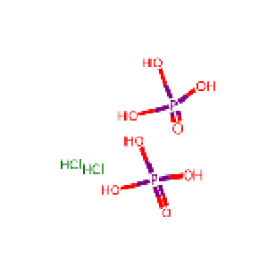 Cl.Cl.O=P(O)(O)O.O=P(O)(O)O